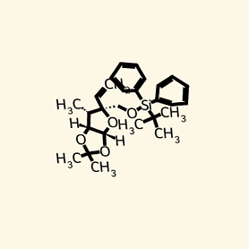 C=C[C@@]1(CO[Si](c2ccccc2)(c2ccccc2)C(C)(C)C)O[C@@H]2OC(C)(C)O[C@@H]2[C@@H]1C